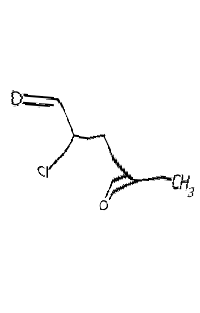 CC(=O)CC(Cl)C=O